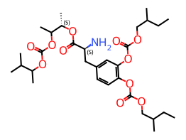 CCC(C)COC(=O)Oc1ccc(C[C@H](N)C(=O)O[C@@H](C)C(C)OC(=O)OC(C)C(C)C)cc1OC(=O)OCC(C)CC